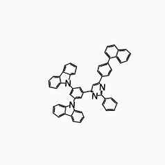 c1ccc(-c2nc(-c3ccc(-c4cccc5ccccc45)cc3)cc(-c3cc(-n4c5ccccc5c5ccccc54)cc(-n4c5ccccc5c5ccccc54)c3)n2)cc1